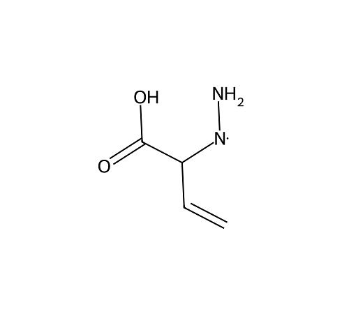 C=CC([N]N)C(=O)O